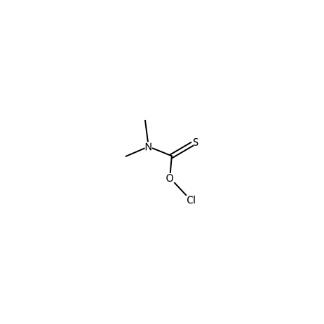 CN(C)C(=S)OCl